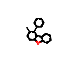 Cc1ccc2oc3ccccc3c2c1-c1ccccc1